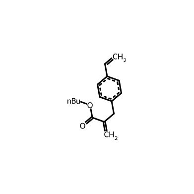 C=Cc1ccc(CC(=C)C(=O)OCCCC)cc1